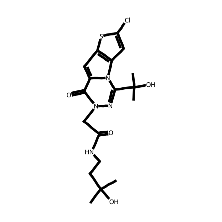 CC(C)(O)CCNC(=O)Cn1nc(C(C)(C)O)n2c(cc3sc(Cl)cc32)c1=O